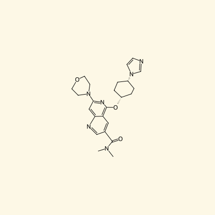 CN(C)C(=O)c1cnc2cc(N3CCOCC3)nc(O[C@H]3CC[C@@H](n4ccnc4)CC3)c2c1